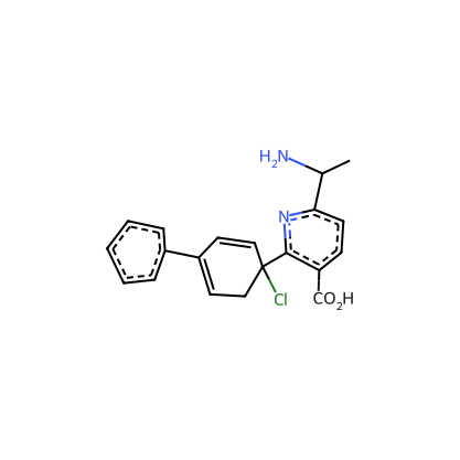 CC(N)c1ccc(C(=O)O)c(C2(Cl)C=CC(c3ccccc3)=CC2)n1